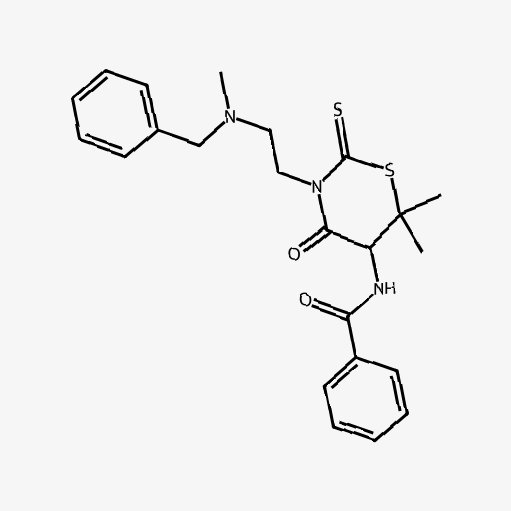 CN(CCN1C(=O)C(NC(=O)c2ccccc2)C(C)(C)SC1=S)Cc1ccccc1